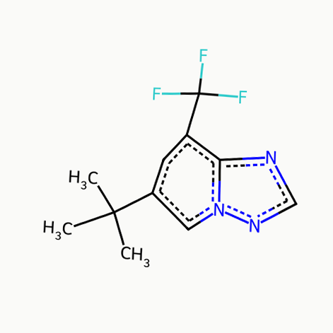 CC(C)(C)c1cc(C(F)(F)F)c2ncnn2c1